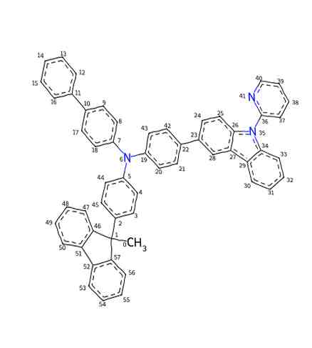 CC1(c2ccc(N(c3ccc(-c4ccccc4)cc3)c3ccc(-c4ccc5c(c4)c4ccccc4n5-c4ccccn4)cc3)cc2)c2ccccc2-c2ccccc21